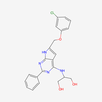 OCC(CO)Nc1nc(-c2ccccc2)nc2[nH]c(COc3cccc(Cl)c3)cc12